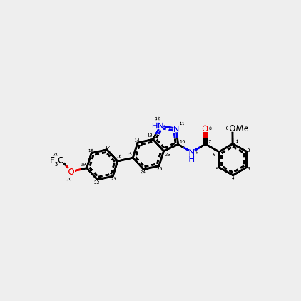 COc1ccccc1C(=O)Nc1n[nH]c2cc(-c3ccc(OC(F)(F)F)cc3)ccc12